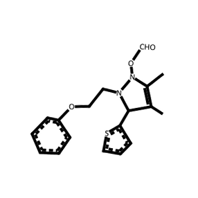 CC1=C(C)N(OC=O)N(CCOc2ccccc2)C1c1cccs1